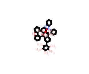 Bc1c(B)c(B)c(-c2ccc3c(-c4ccccc4-n4c(C(B)(O)C(B)(B)B)nc5ccccc54)c4ccccc4c(-c4cccc5oc6ccccc6c45)c3c2)c(B)c1B